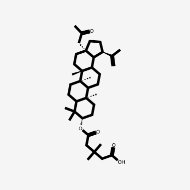 C=C(C)[C@@H]1CC[C@]2(CC(C)=O)CC[C@]3(C)C(CCC4[C@@]5(C)CC[C@H](OC(=O)CC(C)(C)CC(=O)O)C(C)(C)C5CC[C@]43C)C12